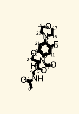 CC(=O)NC[C@@H]1OC(=O)N2c3cc(F)c(N4CCOCC4)cc3OC[C@@H]12